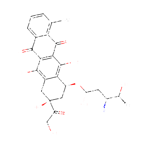 CC[C@H](O)[C@@H](N)C[C@H](O)O[C@H]1C[C@](O)(C(=O)CO)Cc2c(O)c3c(c(O)c21)C(=O)c1c(OC)cccc1C3=O